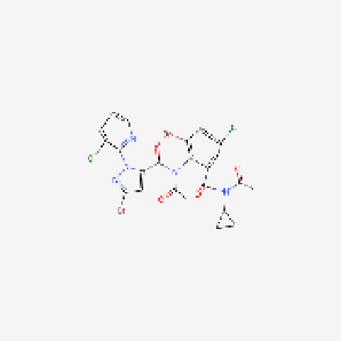 CC(=O)N(C(=O)c1cc(Br)nn1-c1ncccc1Cl)c1c(Br)cc(Cl)cc1C(=O)N(C(C)=O)C1CC1